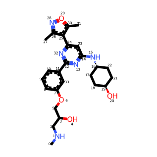 CNCC(O)COc1cccc(-c2nc(N[C@H]3CC[C@H](O)CC3)cc(-c3c(C)noc3C)n2)c1